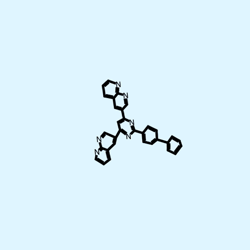 c1ccc(-c2ccc(-c3nc(-c4cnc5ncccc5c4)cc(-c4cnc5ncccc5c4)n3)cc2)cc1